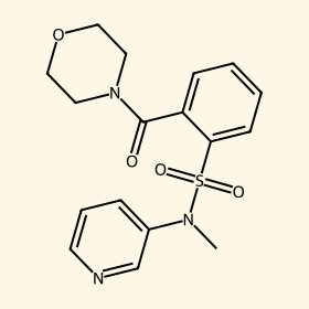 CN(c1cccnc1)S(=O)(=O)c1ccccc1C(=O)N1CCOCC1